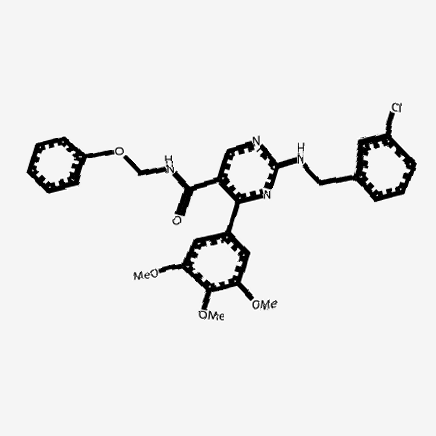 COc1cc(-c2nc(NCc3cccc(Cl)c3)ncc2C(=O)NCOc2ccccc2)cc(OC)c1OC